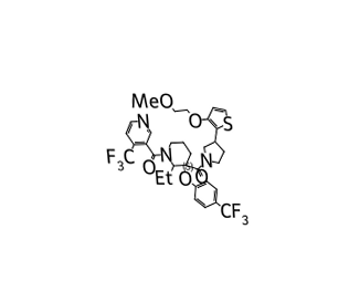 CCC1N(C(=O)c2cnccc2C(F)(F)F)CCC[C@@]1(Oc1ccc(C(F)(F)F)cc1)C(=O)N1CCC(c2sccc2OCCOC)C1